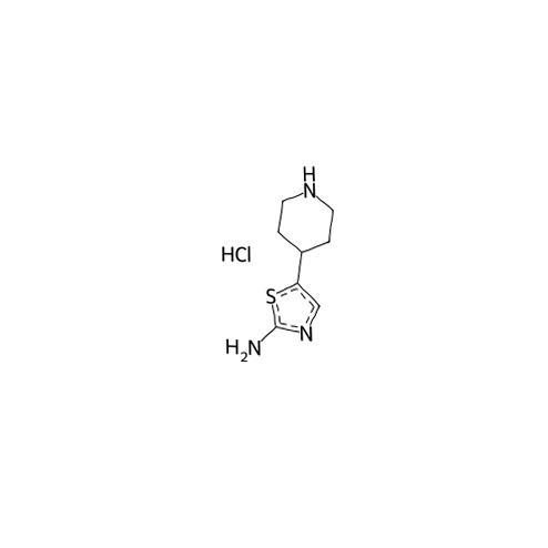 Cl.Nc1ncc(C2CCNCC2)s1